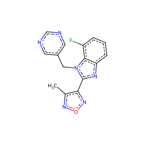 Cc1nonc1-c1nc2cccc(F)c2n1Cc1cncnc1